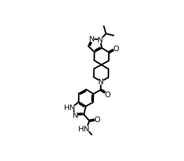 CNC(=O)c1n[nH]c2ccc(C(=O)N3CCC4(CC3)CC(=O)c3c(cnn3C(C)C)C4)cc12